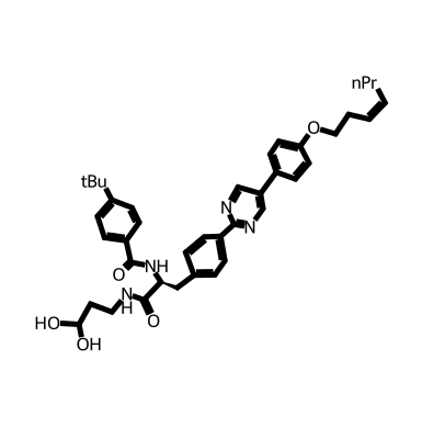 CCC/C=C\CCOc1ccc(-c2cnc(-c3ccc(C[C@H](NC(=O)c4ccc(C(C)(C)C)cc4)C(=O)NCCC(O)O)cc3)nc2)cc1